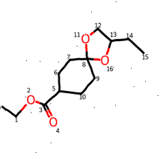 CCOC(=O)C1CCC2(CC1)OCC(CC)O2